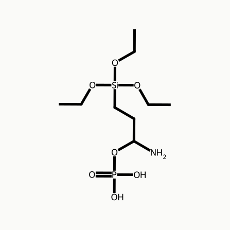 CCO[Si](CCC(N)OP(=O)(O)O)(OCC)OCC